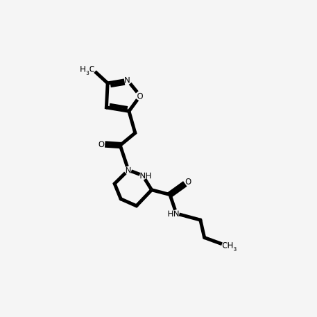 CCCNC(=O)C1CCCN(C(=O)Cc2cc(C)no2)N1